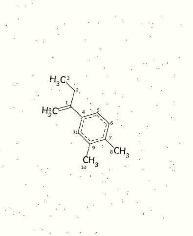 C=C(CC)c1ccc(C)c(C)c1